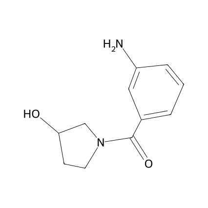 Nc1cccc(C(=O)N2CCC(O)C2)c1